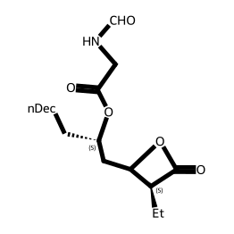 CCCCCCCCCCC[C@@H](CC1OC(=O)[C@H]1CC)OC(=O)CNC=O